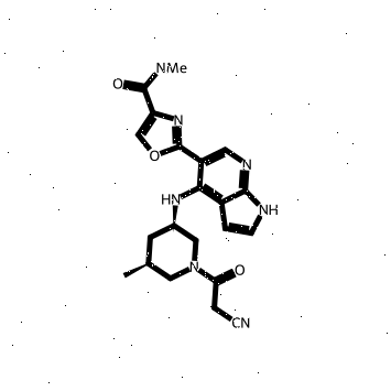 CNC(=O)c1coc(-c2cnc3[nH]ccc3c2N[C@@H]2C[C@H](C)CN(C(=O)CC#N)C2)n1